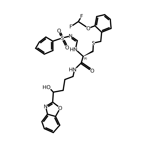 O=C(NCCCC(O)c1nc2ccccc2o1)[C@H](CSCc1ccccc1OC(F)F)NC=NS(=O)(=O)c1ccccc1